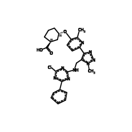 Cc1nc(-c2nnn(C)c2CNc2nc(Cl)nc(-c3ccccc3)n2)ccc1O[C@H]1CCC[C@H](C(=O)O)C1